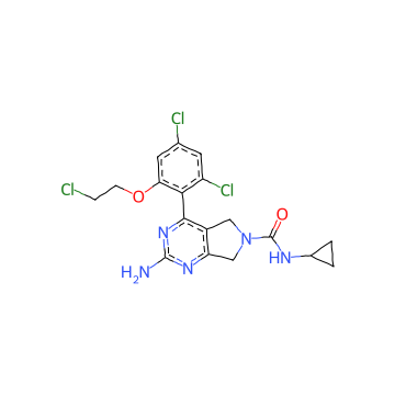 Nc1nc2c(c(-c3c(Cl)cc(Cl)cc3OCCCl)n1)CN(C(=O)NC1CC1)C2